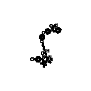 Cc1sc2c(c1C)C(c1ccc(Cl)cc1)=N[C@@H](CC(=O)NCCCCOc1ccc(Oc3ccc(N(Cc4ccccc4)C(=O)CCl)cc3)cc1)c1nnc(C)n1-2